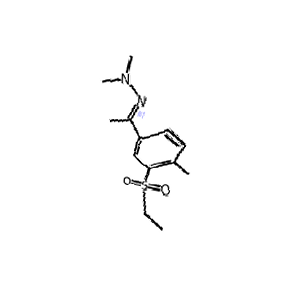 CCS(=O)(=O)c1cc(/C(C)=N/N(C)C)ccc1C